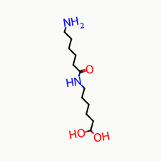 NCCCCCC(=O)NCCCCCC(O)O